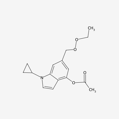 CCOOCc1cc(OC(C)=O)c2ccn(C3CC3)c2c1